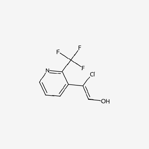 OC=C(Cl)c1cccnc1C(F)(F)F